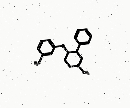 Cc1cccc(OC2CCN(C)CC2c2ccccc2)c1